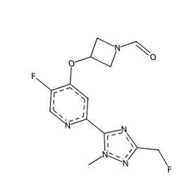 Cn1nc(CF)nc1-c1cc(OC2CN(C=O)C2)c(F)cn1